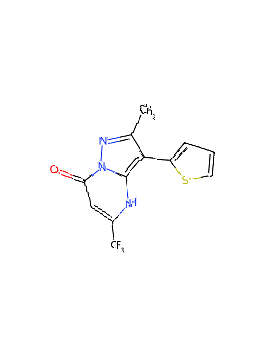 Cc1nn2c(=O)cc(C(F)(F)F)[nH]c2c1-c1cccs1